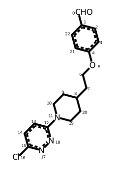 O=Cc1ccc(OCCC2CCN(c3ccc(Cl)nn3)CC2)cc1